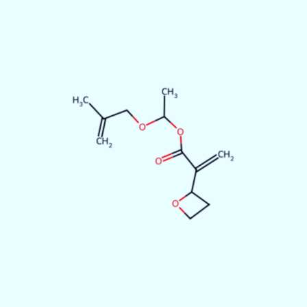 C=C(C)COC(C)OC(=O)C(=C)C1CCO1